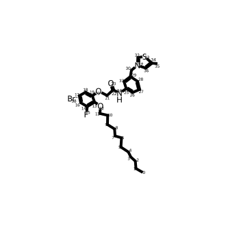 CCCCCCCCCCCCOc1c(F)cccc1OCC(=O)Nc1cccc(C[n+]2csc(C)c2)c1.[Br-]